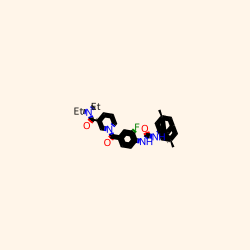 CCN(CC)C(=O)[C@H]1CCCN(C(=O)c2ccc(NC(=O)NC34CC5C[C@@](C)(C3)C[C@](C)(C5)C4)c(F)c2)C1